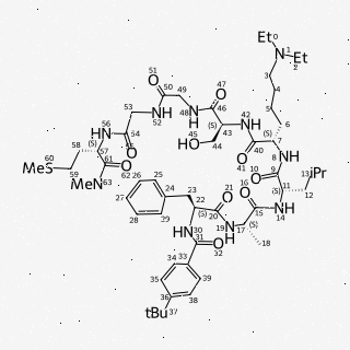 CCN(CC)CCCC[C@H](NC(=O)[C@H](CC(C)C)NC(=O)[C@H](C)NC(=O)[C@H](Cc1ccccc1)NC(=O)c1ccc(C(C)(C)C)cc1)C(=O)N[C@@H](CO)C(=O)NCC(=O)NCC(=O)N[C@@H](CCSC)C(=O)NC